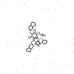 CC(C)(C)OC(=O)N[C@H](Cc1ccc2ccccc2c1)C(=O)N[C@H](Cc1ccc2ccccc2c1)c1nnnn1CCc1ccccc1